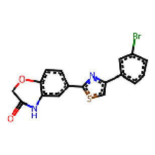 O=C1COc2ccc(-c3nc(-c4cccc(Br)c4)cs3)cc2N1